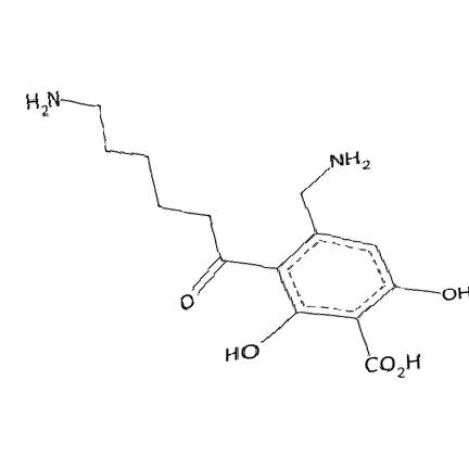 NCCCCCC(=O)c1c(CN)cc(O)c(C(=O)O)c1O